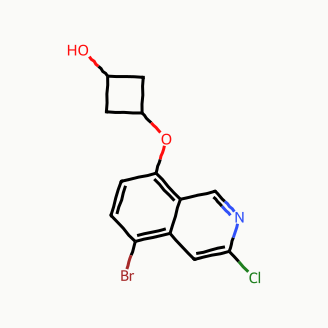 OC1CC(Oc2ccc(Br)c3cc(Cl)ncc23)C1